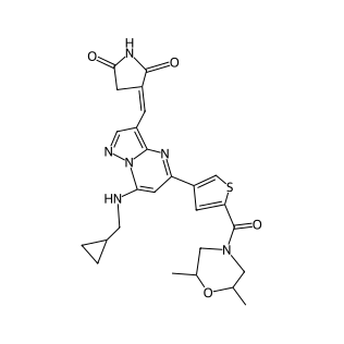 CC1CN(C(=O)c2cc(-c3cc(NCC4CC4)n4ncc(/C=C5\CC(=O)NC5=O)c4n3)cs2)CC(C)O1